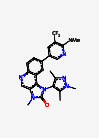 CNc1ncc(-c2ccc3ncc4c(c3c2)n(-c2c(C)nn(C)c2C)c(=O)n4C)cc1C(F)(F)F